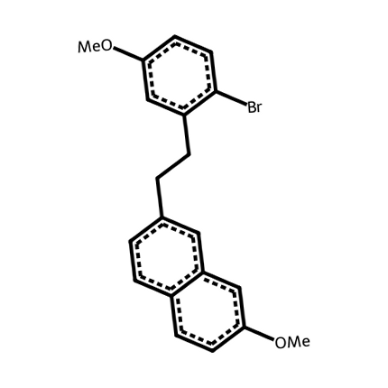 COc1ccc(Br)c(CCc2ccc3ccc(OC)cc3c2)c1